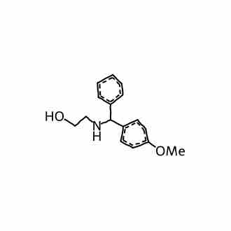 COc1ccc(C(NCCO)c2ccccc2)cc1